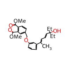 CCC(O)(C=CC=C(C)c1cccc(OCc2ccc(C(=O)OC)c(C(=O)OC)c2)c1)CC